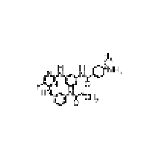 C=CC(=O)Nc1cccc(Nc2nc(Nc3cccc(NC(=O)C4=CCC(C)(N)CC4)c3)ncc2F)c1